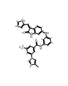 Cc1cn(-c2cc(C(=O)Nc3cccc(Nc4ccc5c(c4)NC(=O)/C5=C\c4cnc[nH]4)c3)cc(C(F)(F)F)c2)cn1